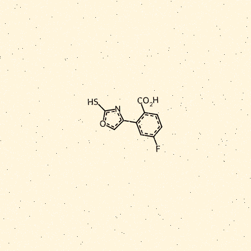 O=C(O)c1ccc(F)cc1-c1coc(S)n1